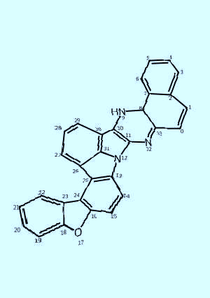 C1=Cc2ccccc2C2Nc3c(n4c5ccc6oc7ccccc7c6c5c5cccc3c54)N=C12